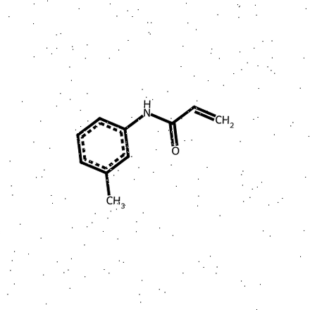 C=CC(=O)Nc1[c]c(C)ccc1